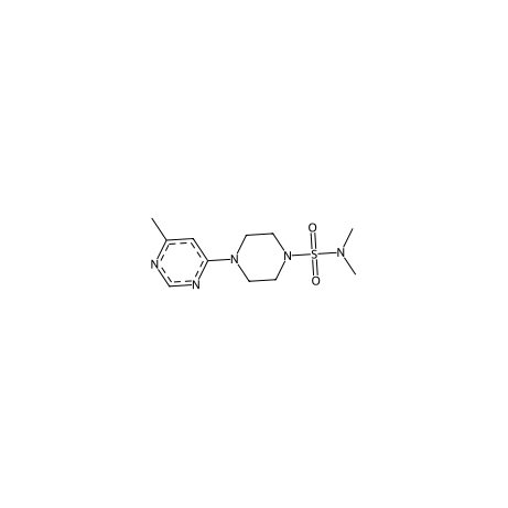 Cc1cc(N2CCN(S(=O)(=O)N(C)C)CC2)ncn1